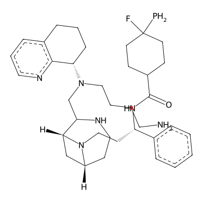 NCCCCN(CC1NCC[C@@H]2C[C@H]1N2CC[C@H](NC(=O)C1CCC(F)(P)CC1)c1ccccc1)[C@H]1CCCc2cccnc21